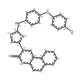 O=c1oc2ccc3ccccc3c2cc1-c1csc(Nc2ccc(Oc3ccc(Cl)cc3)cc2)n1